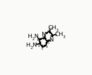 Cc1nc2ccc(N)c(N)c2nc1C